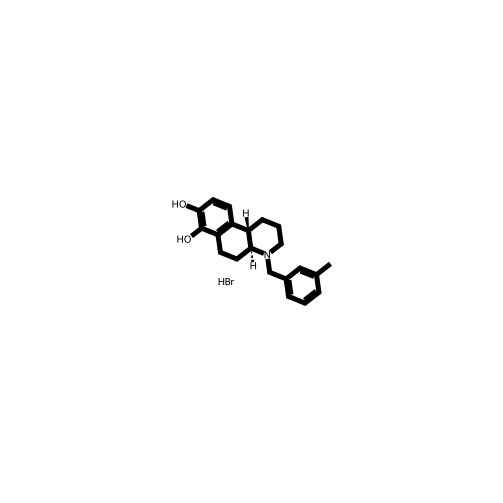 Br.Cc1cccc(CN2CCC[C@H]3c4ccc(O)c(O)c4CC[C@@H]32)c1